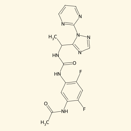 CC(=O)Nc1cc(NC(=O)NC(C)c2ncnn2-c2ncccn2)c(F)cc1F